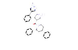 Cn1cc(-c2ccccc2[C@@H]2CNC[C@H]2C(=O)N2CC[C@H](c3ccccc3)C[C@@H]2c2ccccc2)cn1